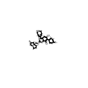 Fc1ccc(-c2c(C(F)(F)F)cc3c(N4C5CCC4CNC5)nc(OC[C@@]45CCCN4C[C@H](F)C5)nc3c2Cl)cc1